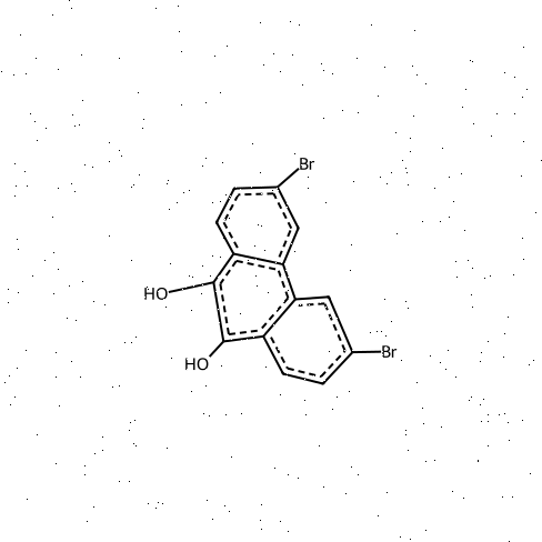 Oc1c(O)c2ccc(Br)cc2c2cc(Br)ccc12